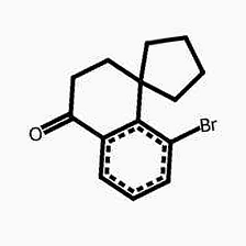 O=C1CCC2(CCCC2)c2c(Br)cccc21